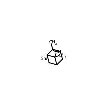 CC1=CCC2CC1C2(C)C.[Sn]